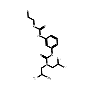 CCCOC(=O)Nc1cccc(OC(=O)N(CC(C)C)CC(C)C)c1